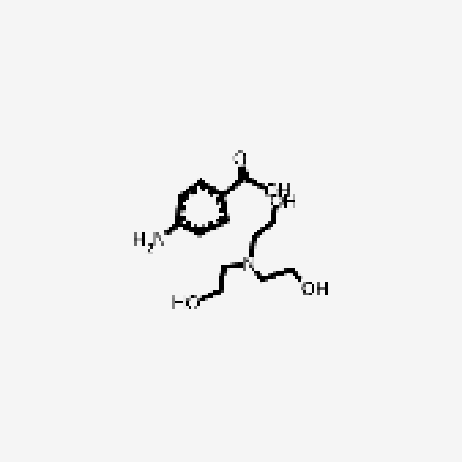 Nc1ccc(C(=O)O)cc1.OCCN(CCO)CCO